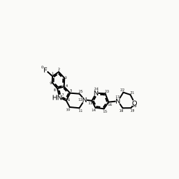 Fc1ccc2c3c([nH]c2c1)CCN(c1ccc(N2CCOCC2)cn1)C3